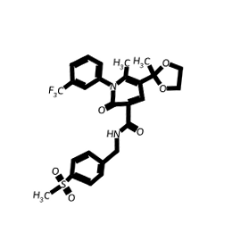 Cc1c(C2(C)OCCO2)cc(C(=O)NCc2ccc(S(C)(=O)=O)cc2)c(=O)n1-c1cccc(C(F)(F)F)c1